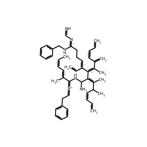 C=C/C=C\C(=C)/C(C)=C(C(=C(\C)C(C)/C=C\C=C)/C(N)NC(=[N+]=CCc1ccccc1)/C(C)=C/C=C\C)\C(C=C)=C\CC/C(=N/C=N)NCc1ccccc1